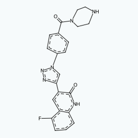 O=C(c1ccc(-n2cc(-c3cc4c(F)cccc4[nH]c3=O)nn2)cc1)N1CCNCC1